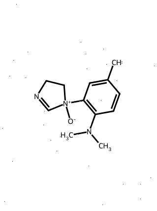 [CH]c1ccc(N(C)C)c([N+]2([O-])C=NCC2)c1